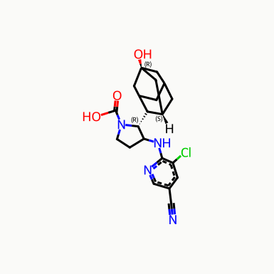 N#Cc1cnc(NC2CCN(C(=O)O)[C@@H]2C2C3CC4C[C@H]2C[C@@](O)(C4)C3)c(Cl)c1